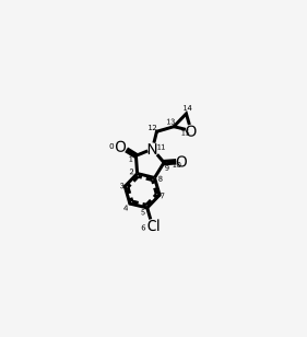 O=C1c2ccc(Cl)cc2C(=O)N1CC1CO1